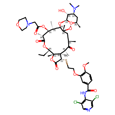 CC[C@H]1OC(=O)[C@H](C)[C@@H](OC(=O)CN2CCOCC2)[C@H](C)[C@@H](O[C@@H]2O[C@H](C)C[C@H](N(C)C)[C@H]2O)[C@](C)(OC)C[C@@H](C)C(=O)[C@H](C)[C@H]2[C@H](SCCOc3cc(C(=O)Nc4c(Cl)cncc4Cl)ccc3OC)C(=O)O[C@@]21C